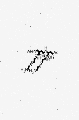 CNCC(CC(=O)NC(CCC(C)=O)C(O)ONCCSSCCN)C(O)ONCCSSCCN